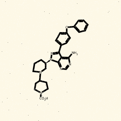 Nc1ncnc2c1c(-c1ccc(Oc3ccccc3)cc1)nn2[C@@H]1CCCN(C2CCN(C(=O)O)CC2)C1